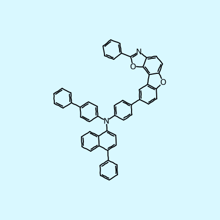 c1ccc(-c2ccc(N(c3ccc(-c4ccc5oc6ccc7nc(-c8ccccc8)oc7c6c5c4)cc3)c3ccc(-c4ccccc4)c4ccccc34)cc2)cc1